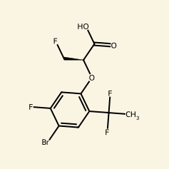 CC(F)(F)c1cc(Br)c(F)cc1O[C@@H](CF)C(=O)O